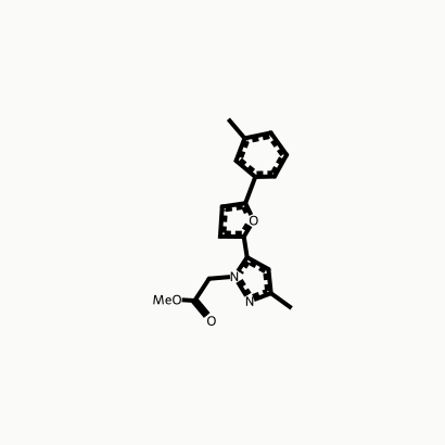 COC(=O)Cn1nc(C)cc1-c1ccc(-c2cccc(C)c2)o1